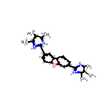 Cc1nc(-c2ccc3c(c2)oc2ccc(-c4nc(C)c(C)c(C)n4)cc23)nc(C)c1C